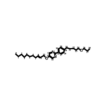 CCCCCCCCC=CCOc1cnc(-c2ccc(CCCCCOCCC)cc2)nc1